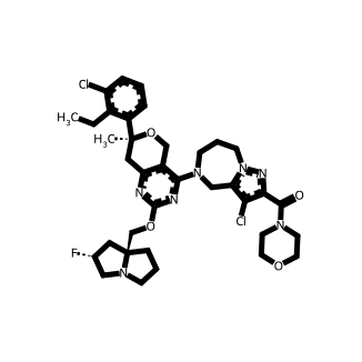 CCc1c(Cl)cccc1[C@]1(C)Cc2nc(OC[C@@]34CCCN3C[C@H](F)C4)nc(N3CCCn4nc(C(=O)N5CCOCC5)c(Cl)c4C3)c2CO1